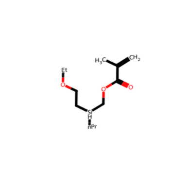 C=C(C)C(=O)OC[SiH](CCC)CCOCC